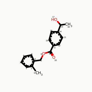 Cc1ccccc1COC(=O)c1ccc(C(C)O)cc1